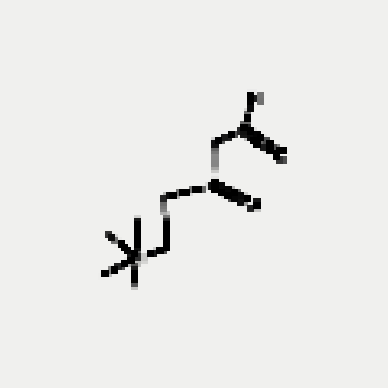 CCC(=O)CC(=O)C[CH2][Sc]([CH3])([CH3])([CH3])[CH3]